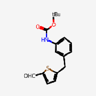 CC(C)(C)OC(=O)Nc1cccc(Cc2ccc(C=O)s2)c1